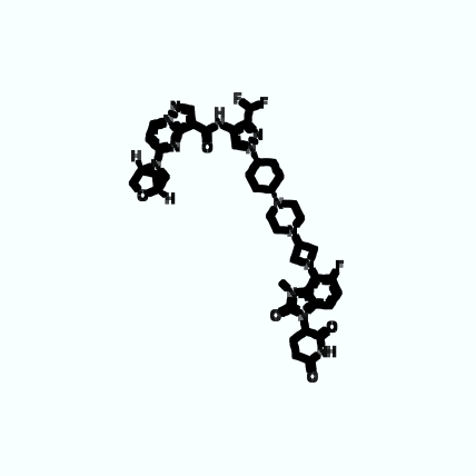 Cn1c(=O)n(C2CCC(=O)NC2=O)c2ccc(F)c(N3CC(N4CCN([C@H]5CC[C@H](n6cc(NC(=O)c7cnn8ccc(N9C[C@H]%10C[C@@H]9CO%10)nc78)c(C(F)F)n6)CC5)CC4)C3)c21